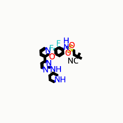 CC(C)(C#N)CCS(=O)(=O)Nc1ccc(Oc2ncccc2-c2ccnc(N[C@H]3CCCNC3)n2)c(F)c1F